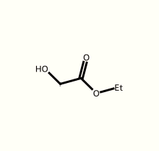 CCOC(=O)[CH]O